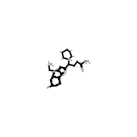 CCn1c2cc(F)ccc2c2oc(C(CCC(N)=O)N3CCCCC3)cc21